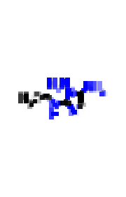 CCNc1ncc(N)n1N